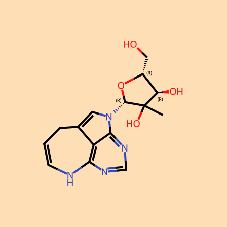 CC1(O)[C@H](O)[C@@H](CO)O[C@H]1n1cc2c3c(ncnc31)NC=CC2